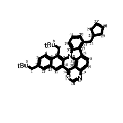 CC(C)(C)Cc1ccc2c(CC(C)(C)C)c3c(cc2c1)c1ncnc2ccc4c5c(CC6CCCC6)cccc5n3c4c21